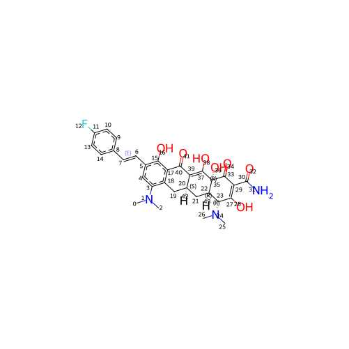 CN(C)c1cc(/C=C/c2ccc(F)cc2)c(O)c2c1C[C@@H]1C[C@@H]3[C@@H](N(C)C)C(O)=C(C(N)=O)C(=O)[C@]3(O)C(O)=C1C2=O